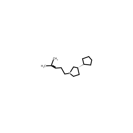 CC(C)=CCCN1CC[C@@H](C2CCCC2)C1